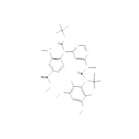 COC(=O)c1ccc(N(C(=O)OC(C)(C)C)c2cc(N(C)C(=O)N(c3c(Cl)c(OC)cc(OC)c3Cl)C(C)(C)C)ncn2)c([N+](=O)[O-])c1